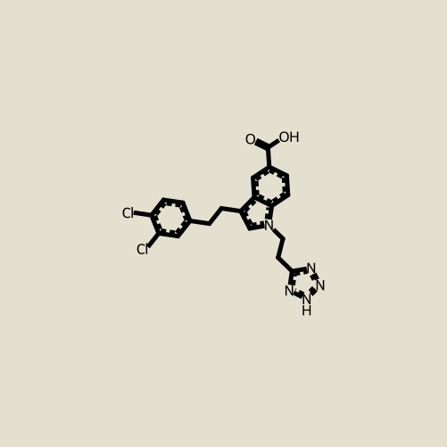 O=C(O)c1ccc2c(c1)c(CCc1ccc(Cl)c(Cl)c1)cn2CCc1nn[nH]n1